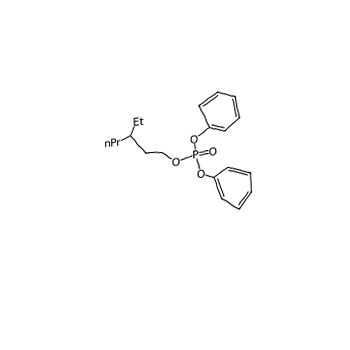 CCCC(CC)CCOP(=O)(Oc1ccccc1)Oc1ccccc1